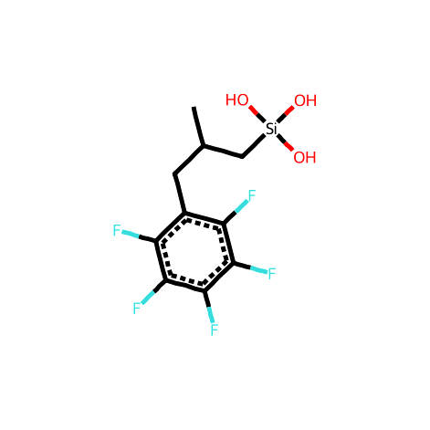 CC(Cc1c(F)c(F)c(F)c(F)c1F)C[Si](O)(O)O